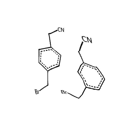 N#CCc1ccc(CBr)cc1.N#CCc1cccc(CBr)c1